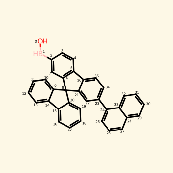 OBc1ccc2c(c1)C1(c3ccccc3-c3ccccc31)c1cc(-c3cccc4ccccc34)ccc1-2